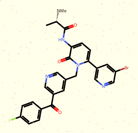 CN[C@@H](C)C(=O)Nc1ccc(-c2cncc(Br)c2)n(Cc2cncc(C(=O)c3ccc(F)cc3)c2)c1=O